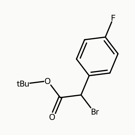 CC(C)(C)OC(=O)C(Br)c1ccc(F)cc1